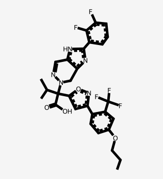 CCCOc1ccc(-c2cc(C(C(=O)O)(C(C)C)N3Cc4nc(-c5cccc(F)c5F)[nH]c4C=N3)on2)c(C(F)(F)F)c1